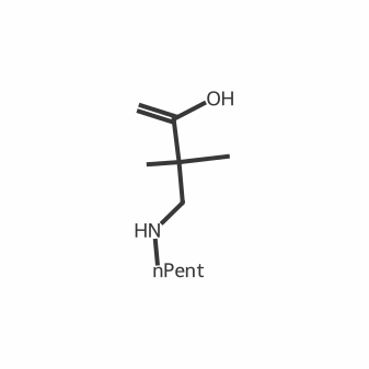 C=C(O)C(C)(C)CNCCCCC